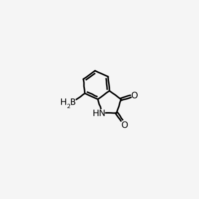 Bc1cccc2c1NC(=O)C2=O